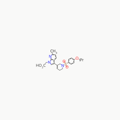 Cc1ccc2c(C3=CCCN(S(=O)(=O)c4ccc(OC(C)C)cc4)C3)cn(CC(=O)O)c2n1